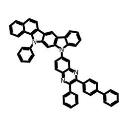 c1ccc(-c2ccc(-c3nc4cc(-n5c6ccccc6c6cc7c8ccc9ccccc9c8n(-c8ccccc8)c7cc65)ccc4nc3-c3ccccc3)cc2)cc1